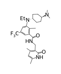 CCN(c1cc(C(F)(F)F)cc(C(=O)NCc2c(C)cc(C)[nH]c2=O)c1C)[C@H]1CC[C@H](N(C)C)CC1